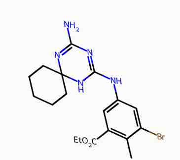 CCOC(=O)c1cc(NC2=NC(N)=NC3(CCCCC3)N2)cc(Br)c1C